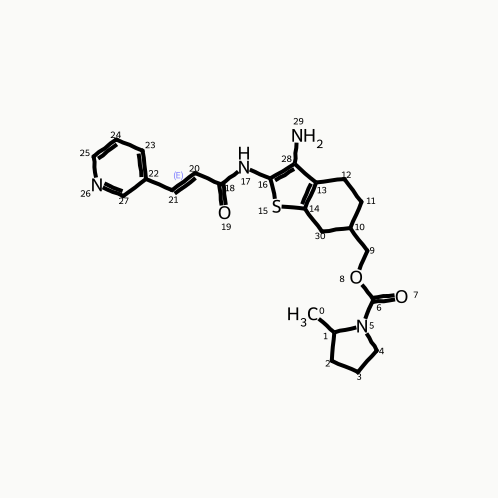 CC1CCCN1C(=O)OCC1CCc2c(sc(NC(=O)/C=C/c3cccnc3)c2N)C1